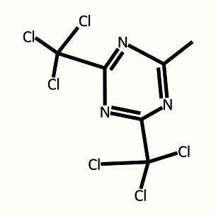 Cc1nc(C(Cl)(Cl)Cl)nc(C(Cl)(Cl)Cl)n1